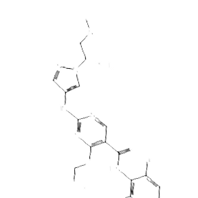 CCOc1nc(Nc2cnn([C@@H](C)CNC)c2)ncc1C(=O)Nc1c(Cl)cccc1Br